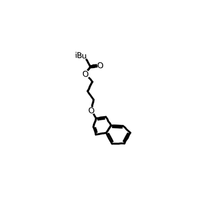 CCC(C)C(=O)OCCCOc1ccc2ccccc2c1